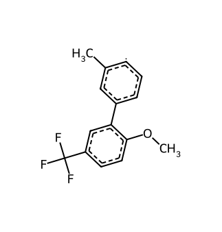 COc1ccc(C(F)(F)F)cc1-c1cc[c]c(C)c1